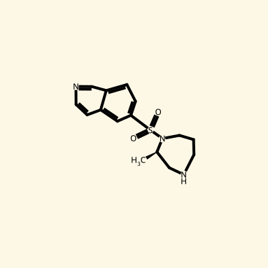 C[C@@H]1CNCCCN1S(=O)(=O)c1ccc2cnccc2c1